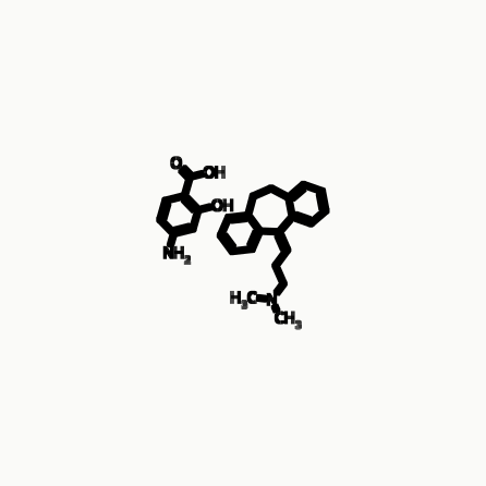 CN(C)CCC=C1c2ccccc2CCc2ccccc21.Nc1ccc(C(=O)O)c(O)c1